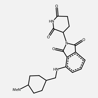 CNC1CCC(CNc2cccc3c2C(=O)N(C2CCC(=O)NC2=O)C3=O)CC1